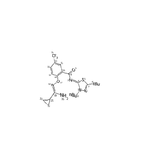 CCCCn1nc(C(C)(C)C)s/c1=N\C(=O)c1cc(C(F)(F)F)ccc1O/N=C(\N)C1CC1